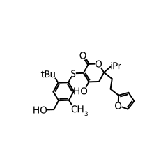 Cc1cc(SC2=C(O)CC(CCc3ccco3)(C(C)C)OC2=O)c(C(C)(C)C)cc1CO